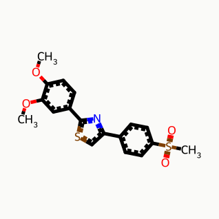 COc1ccc(-c2nc(-c3ccc(S(C)(=O)=O)cc3)cs2)cc1OC